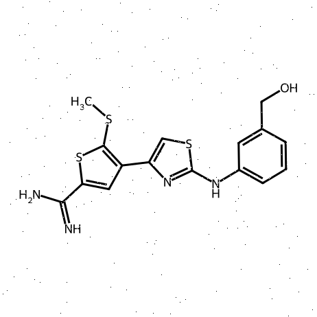 CSc1sc(C(=N)N)cc1-c1csc(Nc2cccc(CO)c2)n1